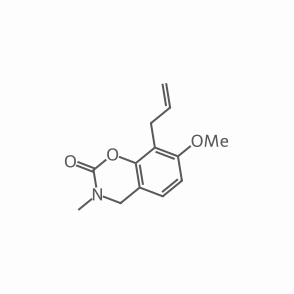 C=CCc1c(OC)ccc2c1OC(=O)N(C)C2